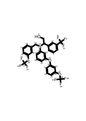 OCC(c1cccc(C(F)(F)F)c1)N(Cc1cccc(SC(F)(F)F)c1)c1cccc(Oc2cccc(OC(F)(F)F)c2)c1